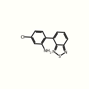 Nc1cc(Cl)ccc1-c1cccc2nsnc12